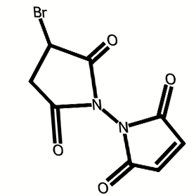 O=C1C=CC(=O)N1N1C(=O)CC(Br)C1=O